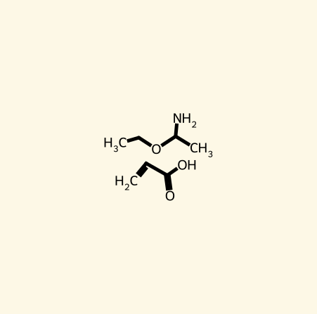 C=CC(=O)O.CCOC(C)N